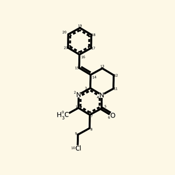 Cc1nc2n(c(=O)c1CCCl)CCCC2=Cc1ccccc1